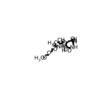 COCCOCCOC(=O)NC(C(=O)NC1CCc2onnc2CNC(=O)C1=O)C(C)C